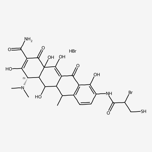 Br.CC1c2ccc(NC(=O)C(Br)CS)c(O)c2C(=O)C2=C(O)C3(O)C(=O)C(C(N)=O)=C(O)[C@@H](N(C)C)C3C(O)C21